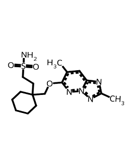 Cc1nc2cc(C)c(OCC3(CCS(N)(=O)=O)CCCCC3)nn2n1